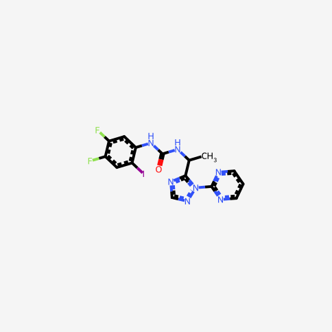 CC(NC(=O)Nc1cc(F)c(F)cc1I)c1ncnn1-c1ncccn1